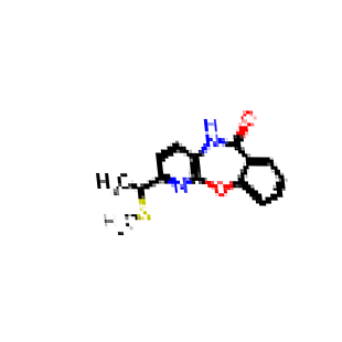 CSC(C)c1ccc2c(n1)Oc1ccccc1C(=O)N2